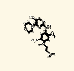 COc1cc(N(C)CCN(C)C)c(N)cc1Nc1ncc(Cl)c(N2CCOCC2)n1